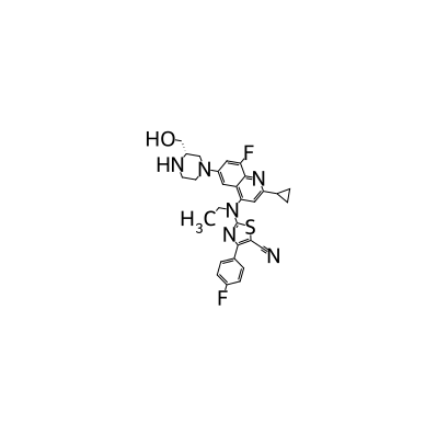 CCN(c1nc(-c2ccc(F)cc2)c(C#N)s1)c1cc(C2CC2)nc2c(F)cc(N3CCN[C@H](CO)C3)cc12